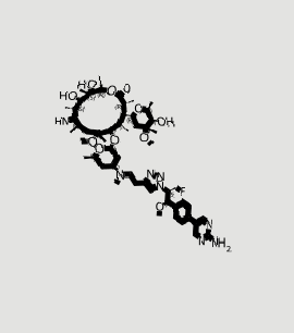 CO[C@H](c1ccc(-c2cnc(N)nc2)cc1)[C@@H](CF)n1cc(CCN(C)[C@@H]2C[C@H](O[C@@H]3[C@@H](C)C([C@H]4C[C@@](C)(OC)[C@@H](O)[C@H](C)O4)[C@@H](C)C(=O)O[C@H](I)[C@@](C)(O)[C@H](O)[C@@H](C)C(=N)[C@H](C)C[C@@]3(C)OC)O[C@H](C)C2)nn1